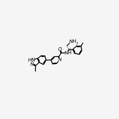 Cc1cccc([C@@H](CN)NC(=O)c2cc(-c3ccc4[nH]nc(C)c4c3)ccn2)c1